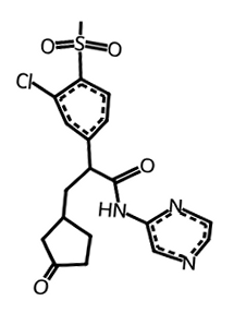 CS(=O)(=O)c1ccc(C(CC2CCC(=O)C2)C(=O)Nc2cnccn2)cc1Cl